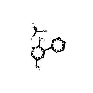 CC(=O)O.Nc1ccc(N)c(-c2ccccc2)c1